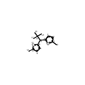 Cc1ccc(C(c2ccc(C)o2)C(C)(C)C)o1